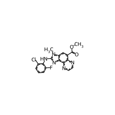 COC(=O)c1cc2c(nc(Nc3c(F)cccc3Cl)n2C)c2nccnc12